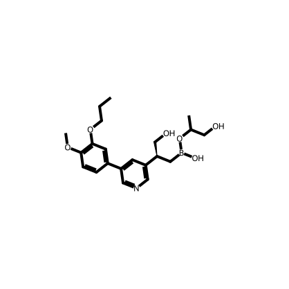 CCCOc1cc(-c2cncc([C@@H](CO)CB(O)OC(C)CO)c2)ccc1OC